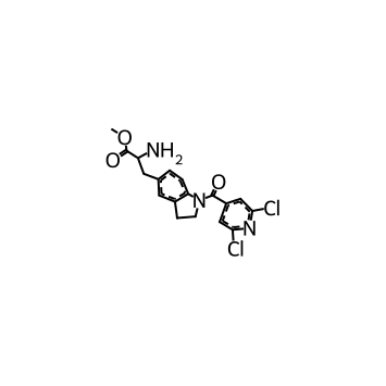 COC(=O)C(N)Cc1ccc2c(c1)CCN2C(=O)c1cc(Cl)nc(Cl)c1